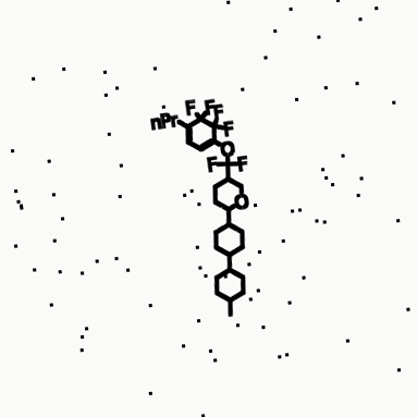 CCCC1=CC=C(OC(F)(F)C2CCC(C3CCC(C4CCC(C)CC4)CC3)OC2)C(F)(F)C1(F)F